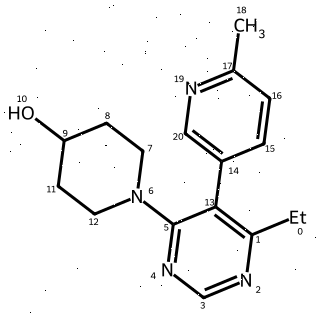 CCc1ncnc(N2CCC(O)CC2)c1-c1ccc(C)nc1